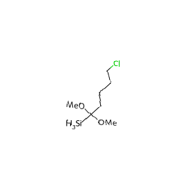 COC([SiH3])(CCCCCl)OC